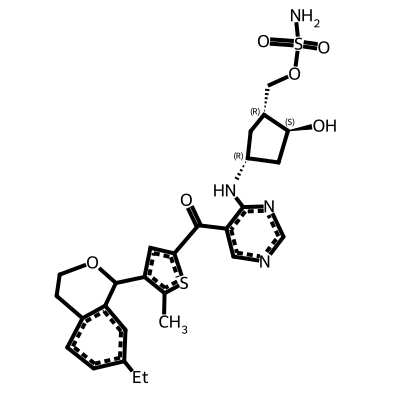 CCc1ccc2c(c1)C(c1cc(C(=O)c3cncnc3N[C@@H]3C[C@H](COS(N)(=O)=O)[C@@H](O)C3)sc1C)OCC2